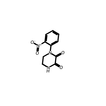 O=C1NCCN(c2ccccc2[N+](=O)[O-])C1=O